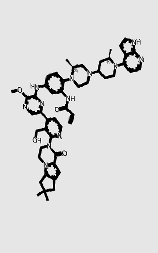 C=CC(=O)Nc1cc(Nc2nc(-c3ccnc(N4CCn5c(cc6c5CC(C)(C)C6)C4=O)c3CO)cnc2OC)ccc1N1CCN(C2CCN(c3ccnc4[nH]ccc34)[C@H](C)C2)C[C@@H]1C